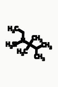 CCN([SiH3])C(C)(C)C(C)C